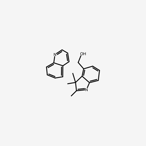 CC1=Nc2cccc(CO)c2C1(C)C.c1ccc2ncccc2c1